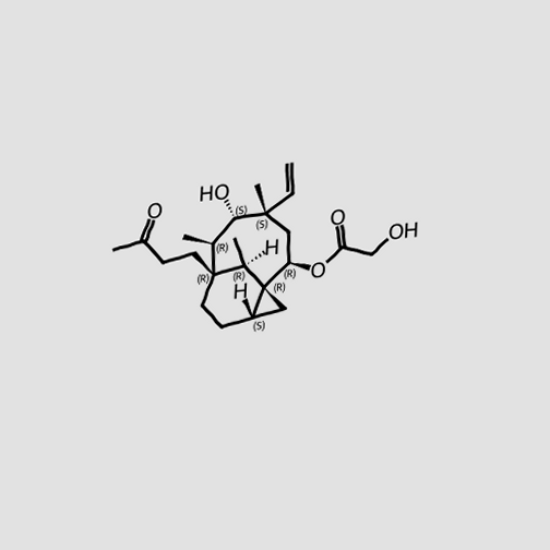 C=C[C@]1(C)C[C@@H](OC(=O)CO)[C@]23C[C@@H]2CC[C@@](CCC(C)=O)([C@H]3C)[C@@H](C)[C@@H]1O